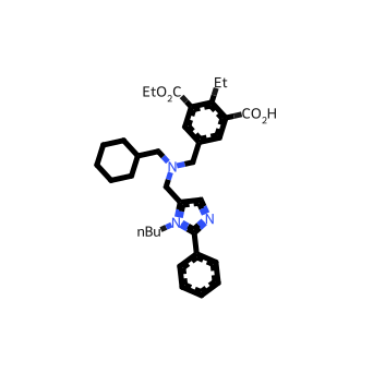 CCCCn1c(CN(Cc2cc(C(=O)O)c(CC)c(C(=O)OCC)c2)CC2CCCCC2)cnc1-c1ccccc1